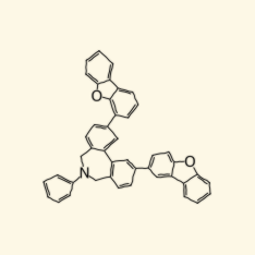 c1ccc(N2Cc3ccc(-c4ccc5oc6ccccc6c5c4)cc3-c3cc(-c4cccc5c4oc4ccccc45)ccc3C2)cc1